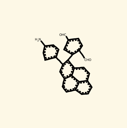 Nc1ccc(-c2cc3ccc4cccc5ccc(c2-c2cc(C=O)ccc2C=O)c3c45)cc1